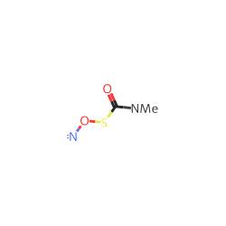 CNC(=O)SO[N]